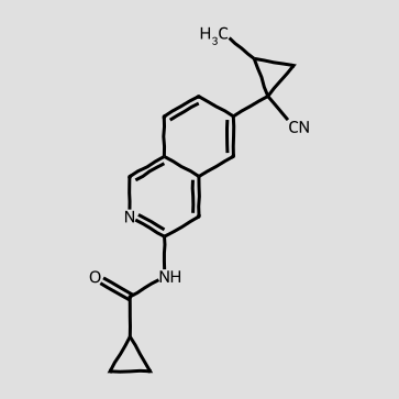 CC1CC1(C#N)c1ccc2cnc(NC(=O)C3CC3)cc2c1